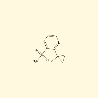 CC1(c2ncccc2S(N)(=O)=O)CC1